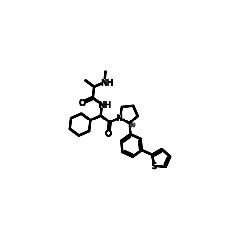 CNC(C)C(=O)NC(C(=O)N1CCC[C@H]1c1cccc(-c2cccs2)c1)C1CCCCC1